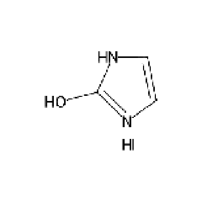 I.Oc1ncc[nH]1